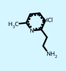 Cc1cccc(CCN)n1.Cl